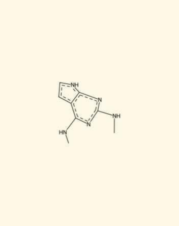 CNc1nc(NC)c2cc[nH]c2n1